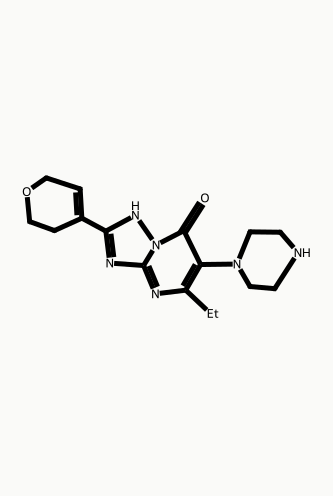 CCc1nc2nc(C3=CCOCC3)[nH]n2c(=O)c1N1CCNCC1